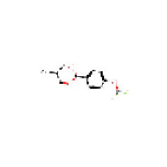 CCCCC1COC(c2ccc(OC(F)F)cc2)OC1